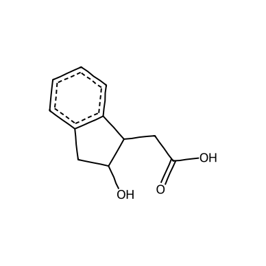 O=C(O)CC1c2ccccc2CC1O